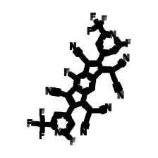 N#CC(C#N)=C1C(c2cc(F)nc(C(F)(F)F)c2)=C(C#N)c2c1cc1c(c2F)C(C#N)=C(c2cc(F)nc(C(F)(F)F)c2)C1=C(C#N)C#N